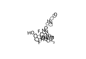 C#Cc1c(F)ccc2cc(O)cc(-c3nc(OC)c4c(N5CCOC[C@@](C)(O)C5)nc(OC[C@]56CCC[C@H]5N(C5CCC7(CCOCC7)C5)CCC6)nc4c3F)c12